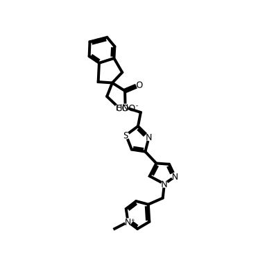 C[n+]1ccc(Cn2cc(-c3csc(CNC(=O)C4(CC(=O)[O-])Cc5ccccc5C4)n3)cn2)cc1